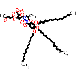 CCCCCCCCCCCCCCCCOc1cc(C(=O)n2c(=O)c(C)cn([C@H]3C[C@@H](OC(=O)CCC(C)=O)[C@@H](CO)O3)c2=O)cc(OCCCCCCCCCCCCCCCC)c1OCCCCCCCCCCCCCCCC